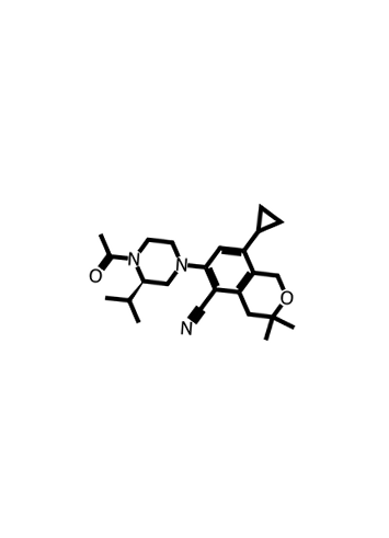 CC(=O)N1CCN(c2cc(C3CC3)c3c(c2C#N)CC(C)(C)OC3)C[C@H]1C(C)C